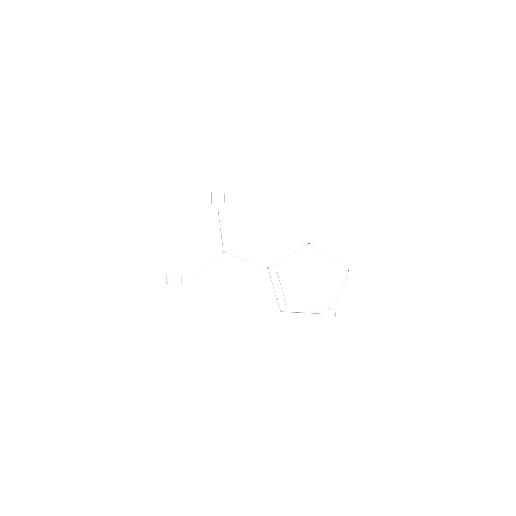 CCC(O)C1=COCC1